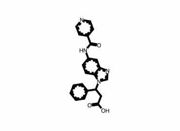 O=C(O)CC(c1ccccc1)n1cnc2cc(NC(=O)c3ccncc3)ccc21